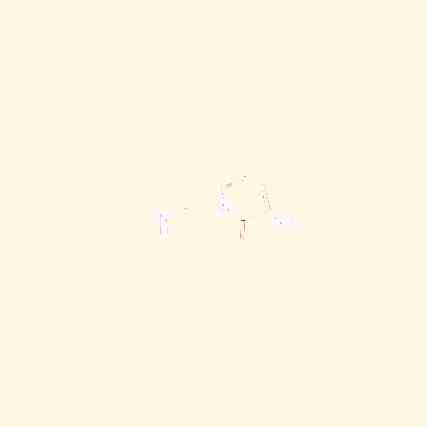 CS(=O)(=O)NCCn1cccc(N)c1=O